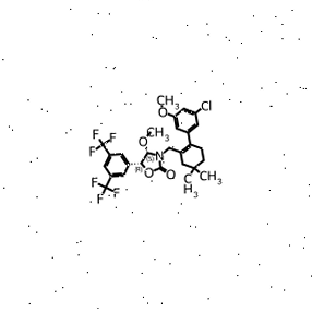 COc1cc(Cl)cc(C2=C(CN3C(=O)O[C@H](c4cc(C(F)(F)F)cc(C(F)(F)F)c4)[C@@H]3OC)CC(C)(C)CC2)c1